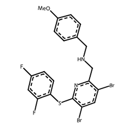 COc1ccc(CNCc2nc(Sc3ccc(F)cc3F)c(Br)cc2Br)cc1